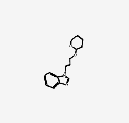 c1ccc2c(c1)ncn2CCCOC1CCCCO1